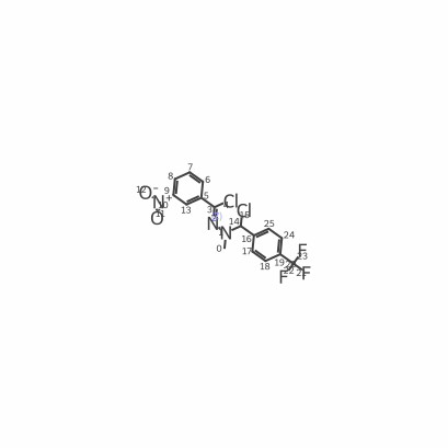 CN(/N=C(\Cl)c1cccc([N+](=O)[O-])c1)C(Cl)c1ccc(C(F)(F)F)cc1